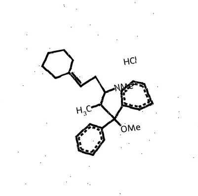 CNC(CC=C1CCCCC1)C(C)C(OC)(c1ccccc1)c1ccccc1.Cl